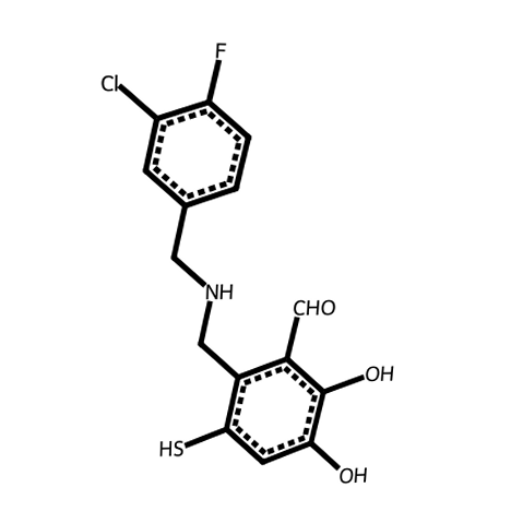 O=Cc1c(O)c(O)cc(S)c1CNCc1ccc(F)c(Cl)c1